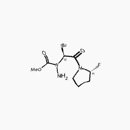 COC(=O)N(N)[C@H](C(=O)N1CCC[C@H]1F)C(C)(C)C